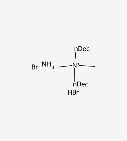 Br.CCCCCCCCCC[N+](C)(C)CCCCCCCCCC.N.[Br-]